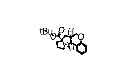 CC(C)(C)OC(=O)[C@]12CCCN1[C@H]1c3ccccc3OC[C@H]1C2